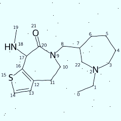 CCN1CCCCC(CN2CCc3ccsc3C(NC)C2=O)C1